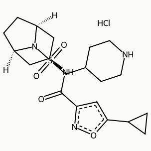 Cl.O=C(N[C@H]1C[C@H]2CC[C@@H](C1)N2S(=O)(=O)CC1CCNCC1)c1cc(C2CC2)on1